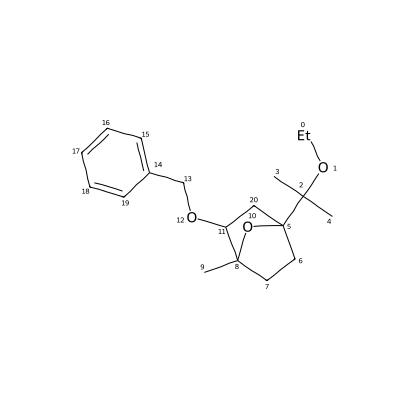 CCOC(C)(C)C12CCC(C)(O1)C(OCc1ccccc1)C2